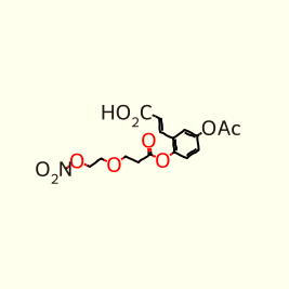 CC(=O)Oc1ccc(OC(=O)CCOCCO[N+](=O)[O-])c(C=CC(=O)O)c1